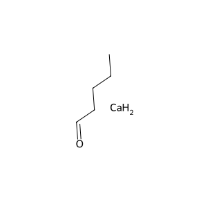 CCCCC=O.[CaH2]